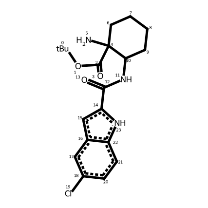 CC(C)(C)OC(=O)C1(N)CCCCC1NC(=O)c1cc2cc(Cl)ccc2[nH]1